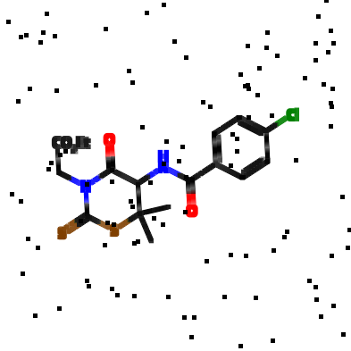 CCOC(=O)CN1C(=O)C(NC(=O)c2ccc(Cl)cc2)C(C)(C)SC1=S